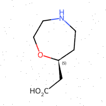 O=C(O)C[C@@H]1CCNCCO1